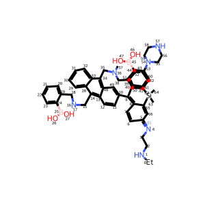 CCNCC/N=C1\C=CC2=C(c3ccc4c(CN(C)Cc5ccccc5B(O)O)c5ccccc5c(CN(C)Cc5ccccc5B(O)O)c4c3)c3ccc(N4CCNCC4)cc3[Si](C)(C)C2=C1